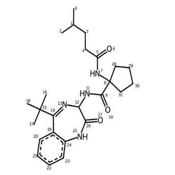 CC(C)CCC(=O)NC1(C(=O)NC2N=C(C(C)(C)C)c3ccccc3NC2=O)CCCC1